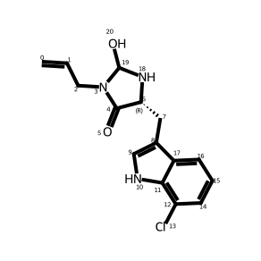 C=CCN1C(=O)[C@@H](Cc2c[nH]c3c(Cl)cccc23)NC1O